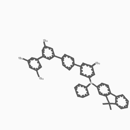 CC(C)(C)c1cc(-c2ccc(-c3cc(N(c4ccccc4)c4ccc5c(c4)C(C)(C)c4ccccc4-5)cc(C(C)(C)C)c3)cc2)cc(-c2cc(C(C)(C)C)cc(C(C)(C)C)c2)c1